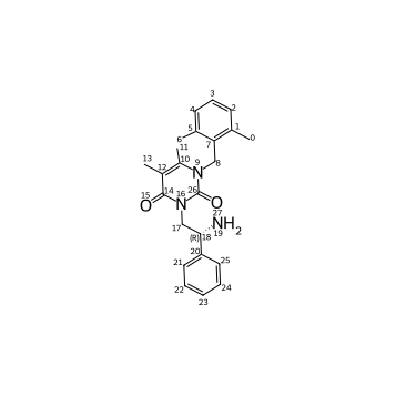 Cc1cccc(C)c1Cn1c(C)c(C)c(=O)n(C[C@H](N)c2ccccc2)c1=O